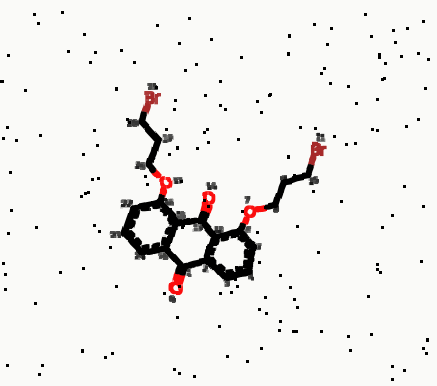 O=C1c2cccc(OCCCBr)c2C(=O)c2c(OCCCBr)cccc21